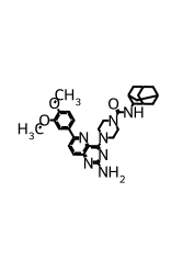 COc1ccc(-c2ccc3nc(N)nc(N4CCN(C(=O)NC5C6CC7CC(C6)CC5C7)CC4)c3n2)cc1OC